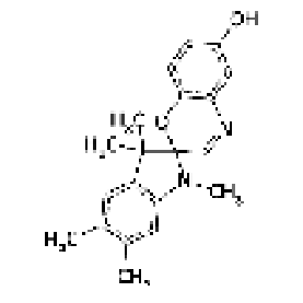 Cc1cc2c(cc1C)C(C)(C)C1(C=Nc3cc(O)ccc3O1)N2C